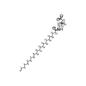 CCCCCCCCCCCCCCCCCCCCCCCC(=O)NCC[N+](C)(C)CC(=O)[O-]